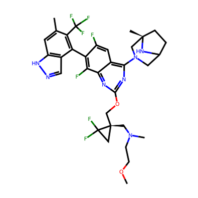 COCCN(C)C[C@@]1(COc2nc(N3CC4CC[C@@](C)(C3)N4)c3cc(F)c(-c4c(C(F)(F)F)c(C)cc5[nH]ncc45)c(F)c3n2)CC1(F)F